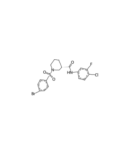 O=C(Nc1ccc(Cl)c(F)c1)[C@H]1CCCN(S(=O)(=O)c2ccc(Br)cc2)C1